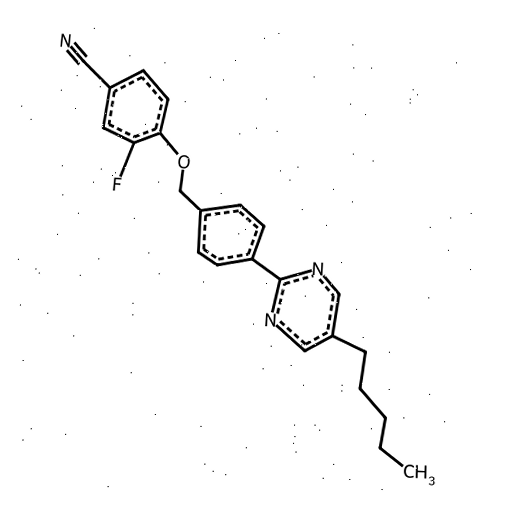 CCCCCc1cnc(-c2ccc(COc3ccc(C#N)cc3F)cc2)nc1